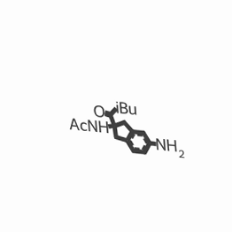 CCC(C)C(=O)C1(NC(C)=O)Cc2ccc(N)cc2C1